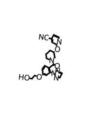 N#Cc1ccnc(O[C@@H]2CCCN(C(=O)c3ccc(OCCO)cc3-n3nccn3)C2)c1